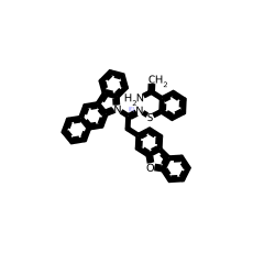 C=C(N)c1ccccc1S/N=C(\Cc1ccc2c(c1)oc1ccccc12)n1c2ccccc2c2cc3ccccc3cc21